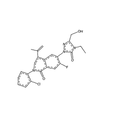 C=C(C)c1cn(-c2ccccc2Cl)c(=O)c2cc(F)c(-n3nc(CO)n(CC)c3=O)cc12